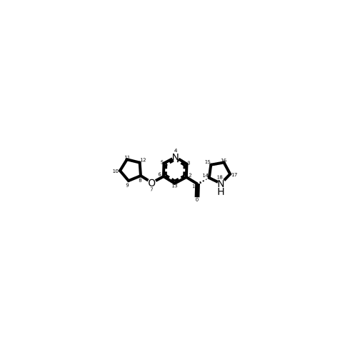 C=C(c1cncc(OC2CCCC2)c1)[C@@H]1CCCN1